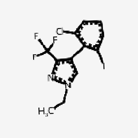 CCn1cc(-c2c(Cl)cccc2I)c(C(F)(F)F)n1